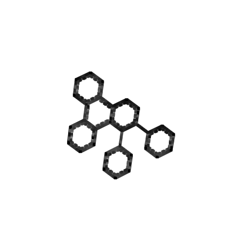 c1ccc(-c2ccc3c4ccccc4c4ccccc4c3c2-c2ccccc2)cc1